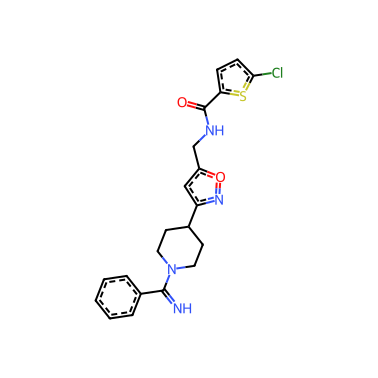 N=C(c1ccccc1)N1CCC(c2cc(CNC(=O)c3ccc(Cl)s3)on2)CC1